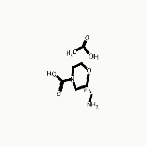 CC(=O)O.NC[C@@H]1CN(C(=O)O)CCO1